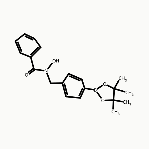 CC1(C)OB(c2ccc(CN(O)C(=O)c3ccccc3)cc2)OC1(C)C